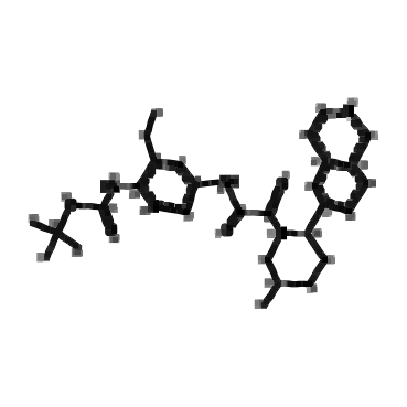 CCc1cc(NC(=O)C(=O)N2CC(C)CCC2c2ccc3cnccc3c2)cnc1NC(=O)OC(C)(C)C